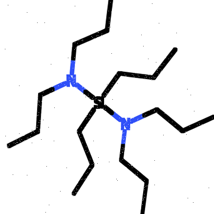 CCCN(CCC)[Si](CCC)(CCC)N(CCC)CCC